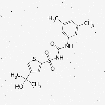 Cc1cc(C)cc(NC(=O)NS(=O)(=O)c2cc(C(C)(C)O)cs2)c1